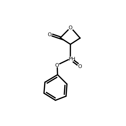 O=C1OCC1[PH](=O)Oc1ccccc1